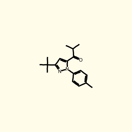 Cc1ccc(-n2nc(C(C)(C)C)cc2C(=O)C(C)C)cc1